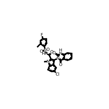 Cc1cc(F)ccc1S(=O)(=O)NC(=O)c1c(-n2c(=O)[nH]c3ccccc3c2=O)c2cc(Cl)ccc2n1C